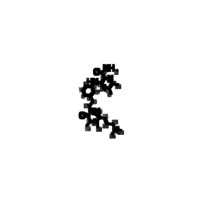 Cc1nc(Nc2cccc(CCNC(=O)[C@H](C)N(C)C(=O)/C=C/CN(C)C)c2)c(C(N)=O)nc1C